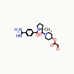 C[C@@]1(C(=O)N2CCC(OC(=O)C=O)CC2)CCCN1C(=O)c1ccc(C(=N)N)cc1